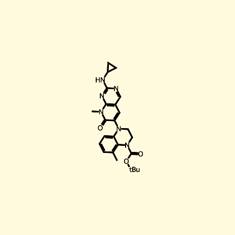 Cc1cccc2c1N(C(=O)OC(C)(C)C)CCN2c1cc2cnc(NC3CC3)nc2n(C)c1=O